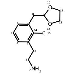 NCCc1cccc(CC2OCCO2)c1Cl